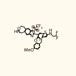 COc1ccc(Cn2c(=O)c(-c3nc4cc5c(cc4n3S(=O)(=O)C(F)(F)F)CCONC5)cc3sc(NCC(F)F)cc32)cc1